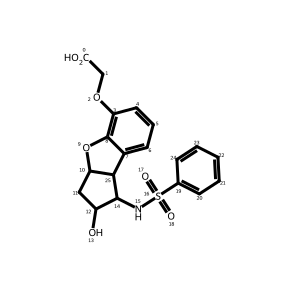 O=C(O)COc1cccc2c1OC1CC(O)C(NS(=O)(=O)c3ccccc3)C21